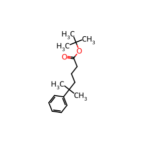 CC(C)(C)OC(=O)CCCC(C)(C)c1ccccc1